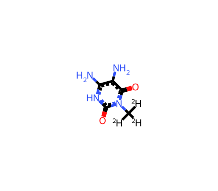 [2H]C([2H])([2H])n1c(=O)[nH]c(N)c(N)c1=O